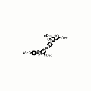 CCCCCCCCCCC(O)CN(CCN1CCN(CCN(CCNC(=O)c2ccc(OC)cc2)CC(CCCCCCCCCC)N=O)CC1)CC(CCCCCCCCCC)N=O